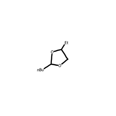 CCCCC1OCC(CC)O1